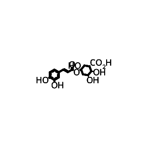 O=C(/C=C/c1ccc(O)c(O)c1)O[C@]1(O)C[C@@H](O)[C@H](O)[C@H](C(=O)O)C1